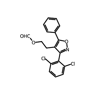 O=COCCc1c(-c2c(Cl)cccc2Cl)noc1-c1ccccc1